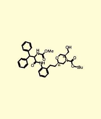 COC(=O)NC(C(=O)Nc1ccccc1CC[C@@H]1CN(C(=O)OC(C)(C)C)[C@H](CO)CO1)C(c1ccccc1)c1ccccc1